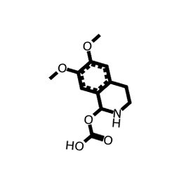 COc1cc2c(cc1OC)C(OC(=O)O)NCC2